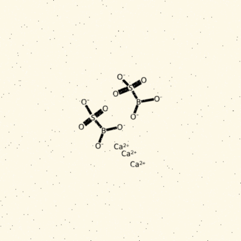 O=S(=O)([O-])B([O-])[O-].O=S(=O)([O-])B([O-])[O-].[Ca+2].[Ca+2].[Ca+2]